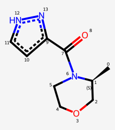 C[C@H]1COCCN1C(=O)c1cc[nH]n1